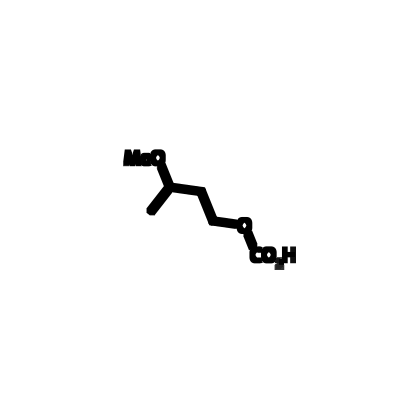 COC(C)CCOC(=O)O